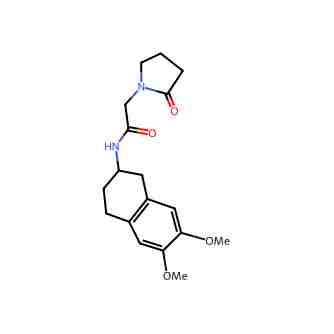 COc1cc2c(cc1OC)CC(NC(=O)CN1CCCC1=O)CC2